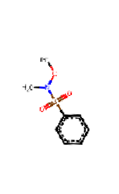 CC(C)ON(C)S(=O)(=O)c1ccccc1